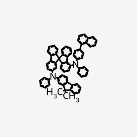 CC1(C)c2ccccc2-c2ccc(N(c3ccccc3)c3ccc4c(c3)C3(c5ccccc5-4)c4ccccc4-c4c(N(c5ccccc5)c5ccc(-c6cccc7ccccc67)cc5)cccc43)cc21